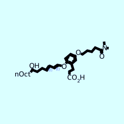 CCCCCCCCC(O)CC/C=C/C=C/Oc1ccc(OCCCCC(=O)N(C)C)cc1CCC(=O)O